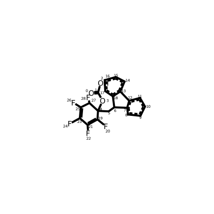 O=C(O)OC1(CC2c3ccccc3-c3ccccc32)C(F)=C(F)C(F)=C(F)C1F